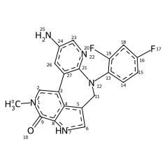 Cn1cc2c3c(c[nH]c3c1=O)CN(c1ccc(F)cc1F)c1ncc(N)cc1-2